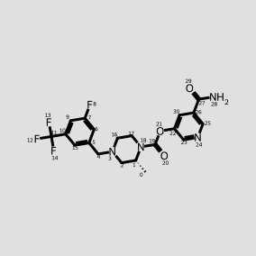 C[C@@H]1CN(Cc2cc(F)cc(C(F)(F)F)c2)CCN1C(=O)Oc1cncc(C(N)=O)c1